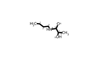 CCCCNC([O])C(C)O